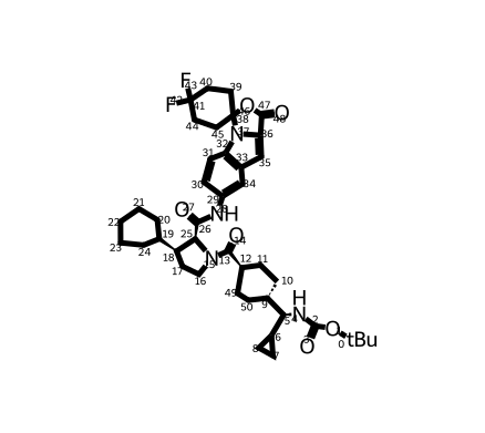 CC(C)(C)OC(=O)N[C@H](C1CC1)[C@H]1CC[C@H](C(=O)N2CC[C@@H](C3CCCCC3)[C@H]2C(=O)Nc2ccc3c(c2)cc2n3C3(CCC(F)(F)CC3)OC2=O)CC1